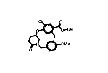 COc1ccc(CN2CC(Oc3cc(F)c(C(=O)OC(C)(C)C)cc3Cl)CCC2=O)cc1